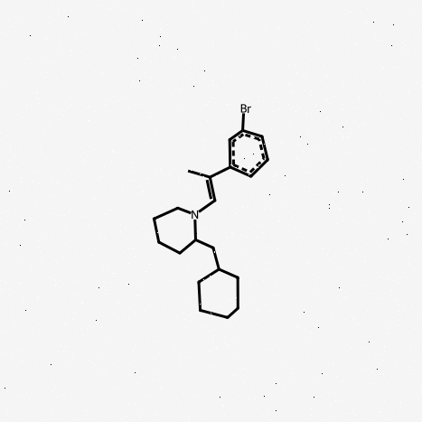 C/C(=C\N1CCCCC1CC1CCCCC1)c1cccc(Br)c1